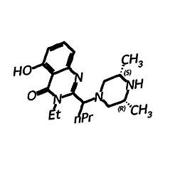 CCCC(c1nc2cccc(O)c2c(=O)n1CC)N1C[C@@H](C)N[C@@H](C)C1